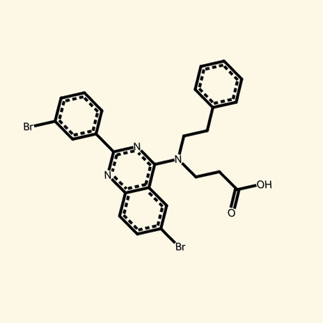 O=C(O)CCN(CCc1ccccc1)c1nc(-c2cccc(Br)c2)nc2ccc(Br)cc12